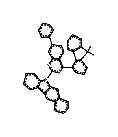 CC1(C)c2ccccc2-c2c(-c3nc(-n4c5ccccc5c5cc6ccccc6cc54)nc4cc(-c5ccccc5)ccc34)cccc21